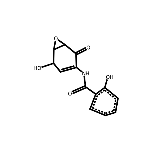 O=C(NC1=CC(O)C2OC2C1=O)c1ccccc1O